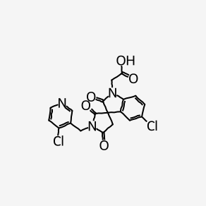 O=C(O)CN1C(=O)C2(CC(=O)N(Cc3cnccc3Cl)C2=O)c2cc(Cl)ccc21